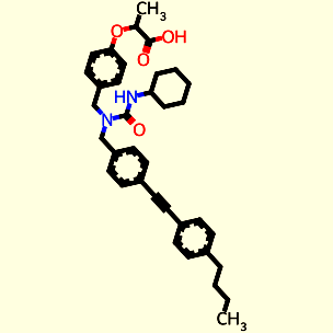 CCCCc1ccc(C#Cc2ccc(CN(Cc3ccc(OC(C)C(=O)O)cc3)C(=O)NC3CCCCC3)cc2)cc1